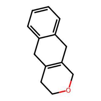 c1ccc2c(c1)CC1=C(COCC1)C2